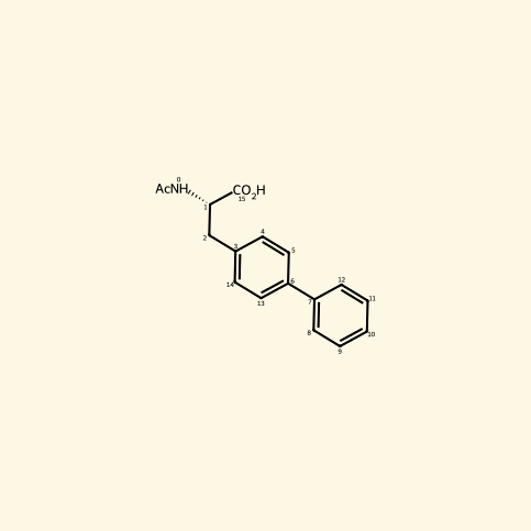 CC(=O)N[C@@H](Cc1ccc(-c2ccccc2)cc1)C(=O)O